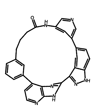 O=C1CCCc2cccc(c2)-c2ccnc3[nH]c(nc23)-c2n[nH]c3ccc(cc23)-c2cncc(c2)N1